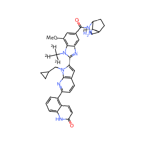 [2H]C([2H])([2H])n1c(-c2cc3ccc(-c4cccc5[nH]c(=O)ccc45)nc3n2CC2CC2)nc2cc(C(=O)N3CC4CCC3[C@@H]4N)cc(OC)c21